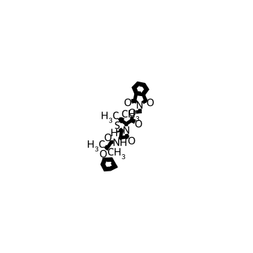 CC(C)(Oc1ccccc1)C(=O)NC1C(=O)N2C(C(=O)OCN3C(=O)c4ccccc4C3=O)C(C)(C)S[C@@H]12